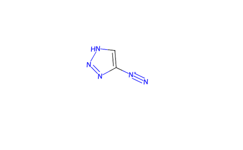 N#[N+]c1c[nH]nn1